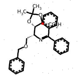 CC1(C)O[C@@H]([C@@H](COCc2ccccc2)N=C(c2ccccc2)c2ccccc2)[C@@H](C(=O)O)O1